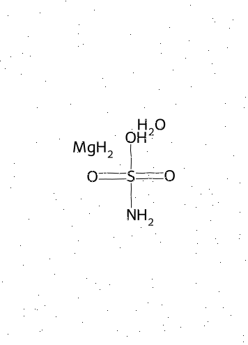 NS(=O)(=O)O.O.[MgH2]